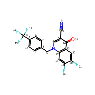 N#Cc1cn(Cc2ccc(C(F)(F)F)cc2)c2cc(F)c(F)cc2c1=O